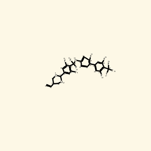 C=CC1COC(c2cc(F)c(C(F)(F)Oc3ccc(-c4cc(F)c(C(F)(F)F)c(F)c4)c(F)c3)c(F)c2)OC1